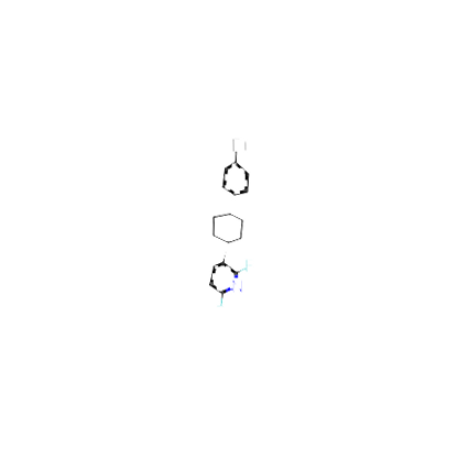 CCc1ccc([C@H]2CC[C@H](c3ccc(F)nc3F)CC2)cc1